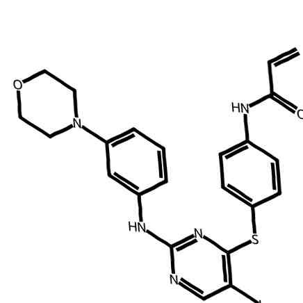 C=CC(=O)Nc1ccc(Sc2nc(Nc3cccc(N4CCOCC4)c3)ncc2I)cc1